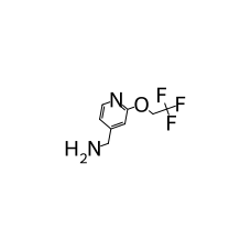 NCc1ccnc(OCC(F)(F)F)c1